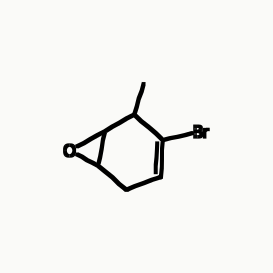 CC1C(Br)=CCC2OC21